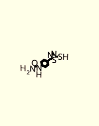 NC(=O)Nc1ccc(-c2nnc(S)s2)cc1